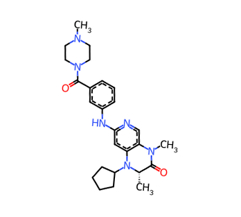 C[C@H]1C(=O)N(C)c2cnc(Nc3cccc(C(=O)N4CCN(C)CC4)c3)cc2N1C1CCCC1